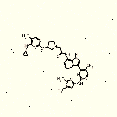 Cc1cnc(OC2CCN(CC(=O)Nc3cccc4c(-c5nc(Nc6cc(C)n(C)n6)ncc5C)c[nH]c34)C2)nc1NC1CC1